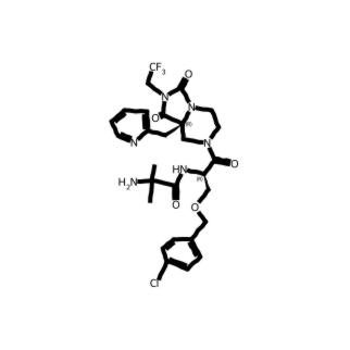 CC(C)(N)C(=O)N[C@H](COCc1ccc(Cl)cc1)C(=O)N1CCN2C(=O)N(CC(F)(F)F)C(=O)[C@@]2(Cc2ccccn2)C1